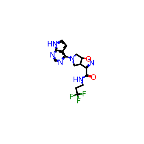 O=C(NCCC(F)(F)F)C1=NOC2CN(c3ncnc4[nH]ccc34)CC12